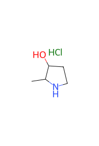 CC1NCCC1O.Cl